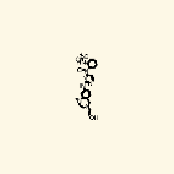 CN1CCN(CCO)Cc2ccc(Nc3nccc(N(Cl)[C@@H]4CCCC[C@H]4NS(C)(=O)=O)n3)cc21